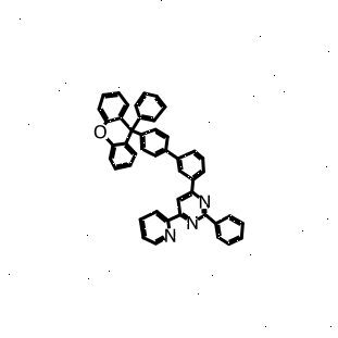 c1ccc(-c2nc(-c3cccc(-c4ccc(C5(c6ccccc6)c6ccccc6Oc6ccccc65)cc4)c3)cc(-c3ccccn3)n2)cc1